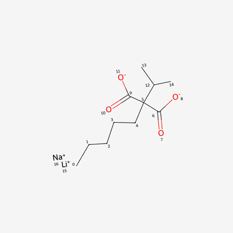 CCCCCC(C(=O)[O-])(C(=O)[O-])C(C)C.[Li+].[Na+]